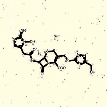 N=c1scc(CC(=O)NC2C(=O)N3C(C(=O)[O-])=C(CSc4nnc(CO)s4)CS[C@H]23)n1O.[Na+]